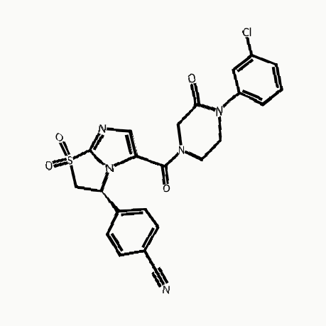 N#Cc1ccc([C@H]2CS(=O)(=O)c3ncc(C(=O)N4CCN(c5cccc(Cl)c5)C(=O)C4)n32)cc1